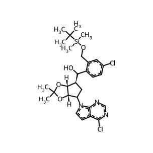 CC1(C)O[C@@H]2[C@@H](C(O)c3ccc(Cl)cc3CO[Si](C)(C)C(C)(C)C)CC(n3ccc4c(Cl)ncnc43)[C@@H]2O1